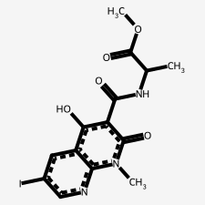 COC(=O)C(C)NC(=O)c1c(O)c2cc(I)cnc2n(C)c1=O